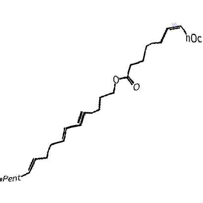 CCCCCC=CCCC=CC=CCCCOC(=O)CCCC/C=C\CCCCCCCC